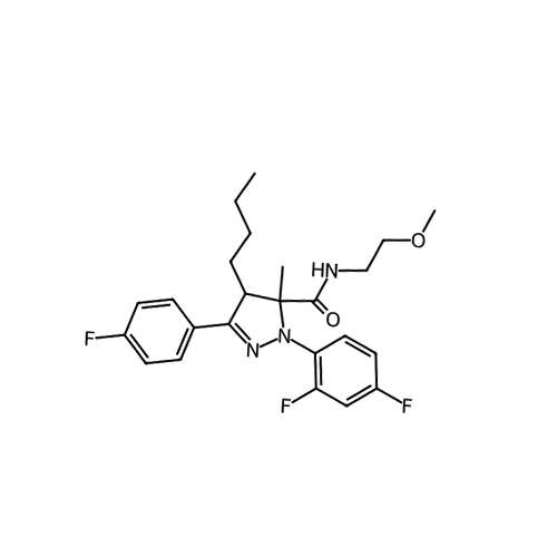 CCCCC1C(c2ccc(F)cc2)=NN(c2ccc(F)cc2F)C1(C)C(=O)NCCOC